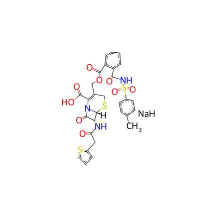 Cc1ccc(S(=O)(=O)NC(=O)c2ccccc2C(=O)OCC2=C(C(=O)O)N3C(=O)[C@@H](NC(=O)Cc4cccs4)[C@H]3SC2)cc1.[NaH]